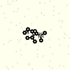 c1ccc(-c2cc(-c3ccccc3)cc(-n3c4cc(-c5nc(-c6ccccc6)nc(-c6ccccc6)n5)cc5c4c4c(cc(-c6cccc7c6sc6ccccc67)cc43)CC5)c2)cc1